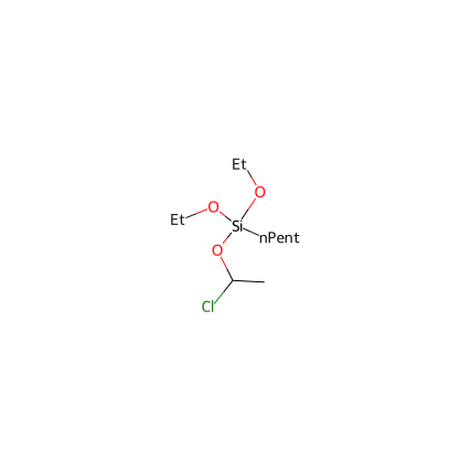 CCCCC[Si](OCC)(OCC)OC(C)Cl